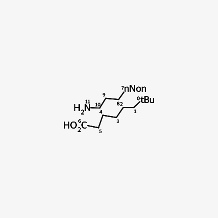 CC(C)(C)CCCCCC(=O)O.CCCCCCCCCCCCN